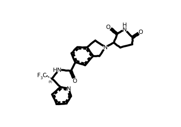 O=C1CCC(N2Cc3ccc(C(=O)N[C@H](c4ccccn4)C(F)(F)F)cc3C2)C(=O)N1